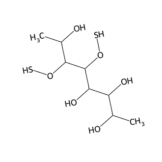 CC(O)C(O)C(O)C(OS)C(OS)C(C)O